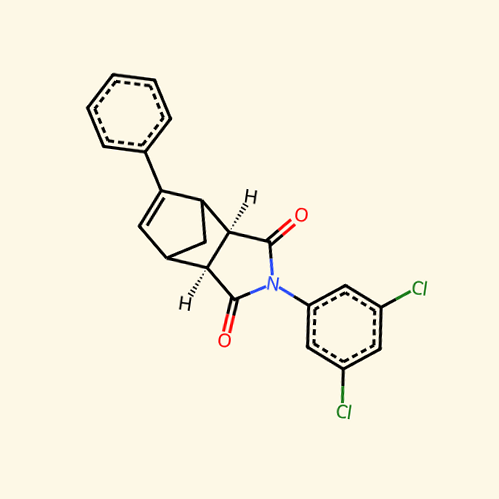 O=C1[C@@H]2C3CC(C=C3c3ccccc3)[C@@H]2C(=O)N1c1cc(Cl)cc(Cl)c1